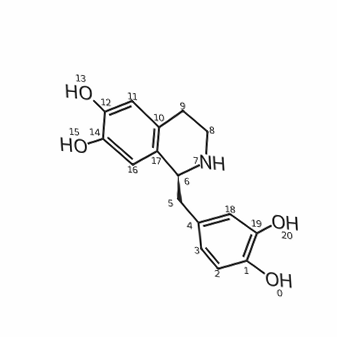 Oc1ccc(C[C@@H]2NCCc3cc(O)c(O)cc32)cc1O